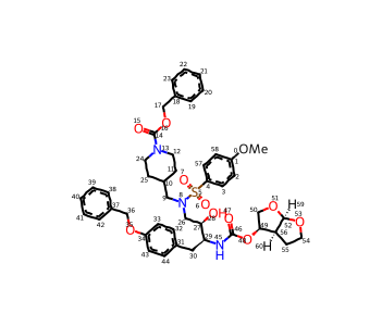 COc1ccc(S(=O)(=O)N(CC2CCN(C(=O)OCc3ccccc3)CC2)C[C@@H](O)[C@H](Cc2ccc(OCc3ccccc3)cc2)NC(=O)O[C@H]2CO[C@H]3OCC[C@H]32)cc1